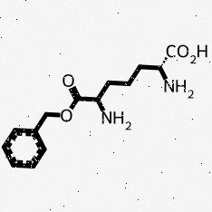 NC(CCC[C@@H](N)C(=O)O)C(=O)OCc1ccccc1